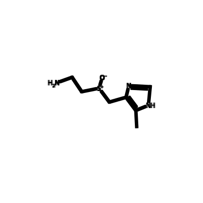 Cc1[nH]cnc1C[S+]([O-])CCN